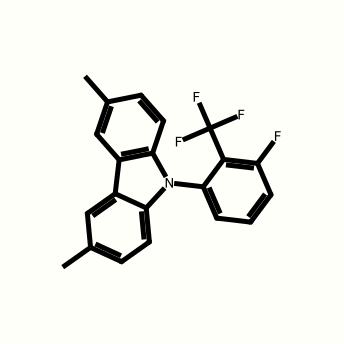 Cc1ccc2c(c1)c1cc(C)ccc1n2-c1cccc(F)c1C(F)(F)F